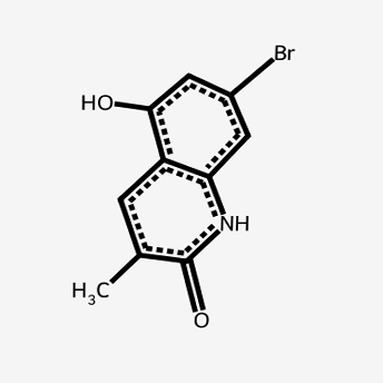 Cc1cc2c(O)cc(Br)cc2[nH]c1=O